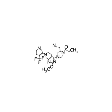 C=CC(=O)N1CCN(c2nc(OC)nc3c2CCN(c2cnccc2C(F)(F)F)C3)CC1CC#N